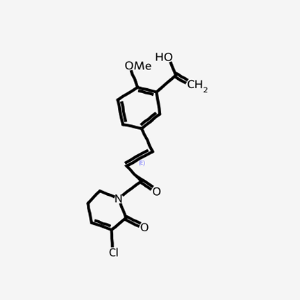 C=C(O)c1cc(/C=C/C(=O)N2CCC=C(Cl)C2=O)ccc1OC